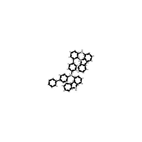 c1ccc(-c2ccc(N(c3ccc(-c4cccc5c4-n4c6ccccc6c6cccc(c64)O5)cc3)c3cccc4oc5ccccc5c34)cc2)cc1